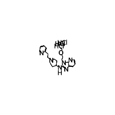 CCOCCn1c(NC2CCN(CCc3ccccn3)CC2)nc2cccnc21.Cl.Cl.Cl